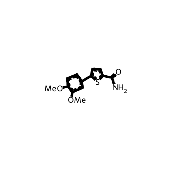 COc1ccc(-c2ccc(C(N)=O)s2)cc1OC